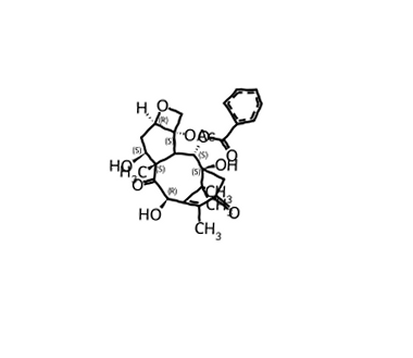 CC(=O)O[C@@]12CO[C@@H]1C[C@H](O)[C@@]1(C)C(=O)[C@H](O)C3=C(C)C(=O)C[C@@](O)([C@@H](OC(=O)c4ccccc4)C12)C3(C)C